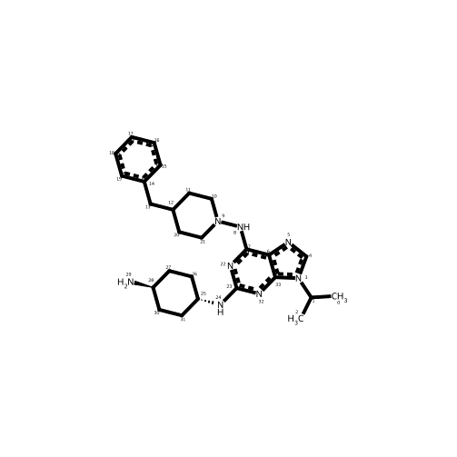 CC(C)n1cnc2c(NN3CCC(Cc4ccccc4)CC3)nc(N[C@H]3CC[C@H](N)CC3)nc21